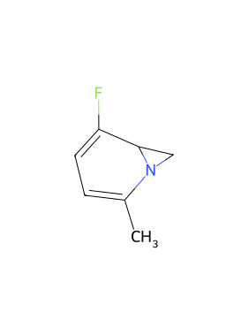 CC1=CC=C(F)C2CN12